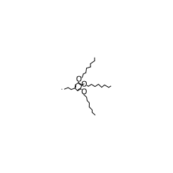 [CH2]CCc1cc(OCCCCCCCC)c(OCCCCCCCC)c(OCCCCCCCC)c1